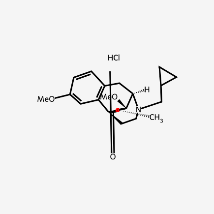 COc1ccc2c(c1)[C@]13CCN(CC4CC4)[C@H](C2)[C@]1(OC)[C@@H](C)CC(=O)C3.Cl